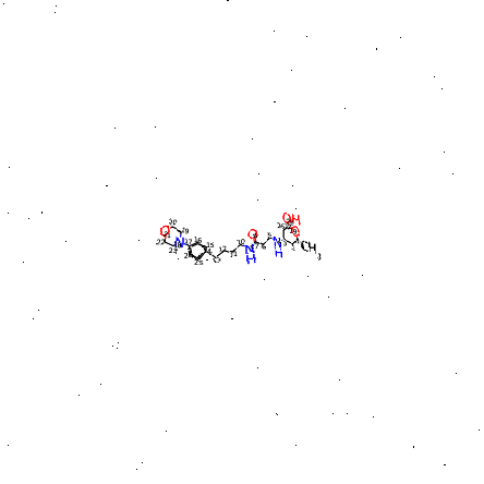 C[C@@H]1C[C@H](NCCC(=O)NCCCCc2ccc(N3CCOCC3)cc2)C[C@H](O)O1